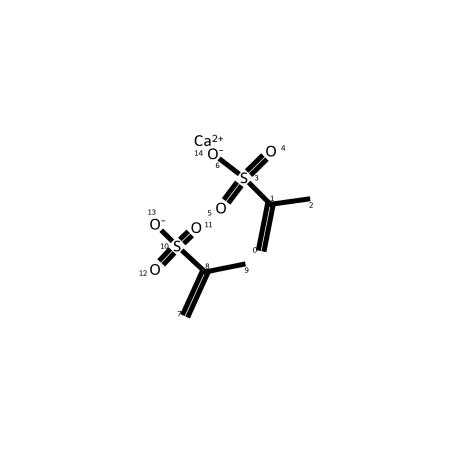 C=C(C)S(=O)(=O)[O-].C=C(C)S(=O)(=O)[O-].[Ca+2]